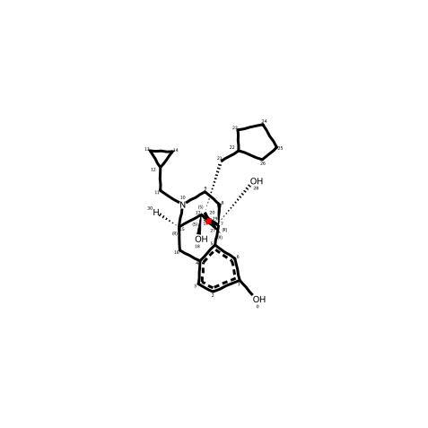 Oc1ccc2c(c1)[C@]13CCN(CC4CC4)[C@H](C2)[C@]1(O)C[C@H](CC1CCCC1)[C@H](O)C3